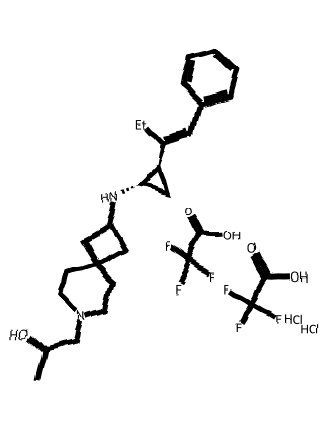 CC/C(=C\c1ccccc1)[C@H]1C[C@@H]1NC1CC2(CCN(CC(C)O)CC2)C1.Cl.Cl.O=C(O)C(F)(F)F.O=C(O)C(F)(F)F